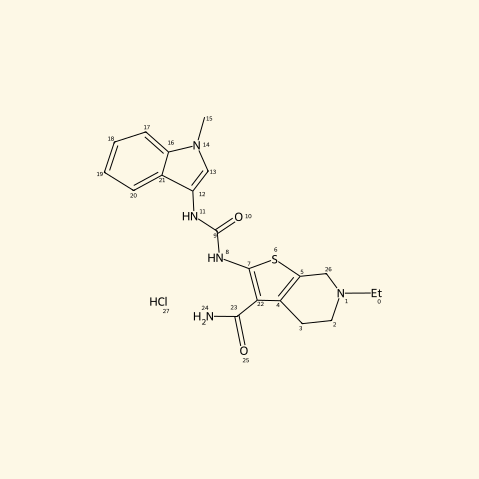 CCN1CCc2c(sc(NC(=O)Nc3cn(C)c4ccccc34)c2C(N)=O)C1.Cl